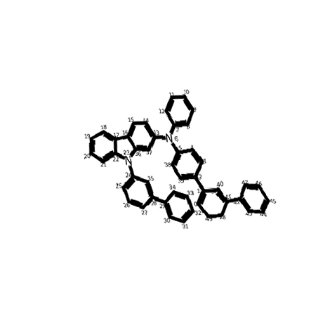 C1=C(c2ccc(N(c3ccccc3)c3ccc4c5ccccc5n(-c5cccc(-c6ccccc6)c5)c4c3)cc2)C=C(c2ccccc2)CC1